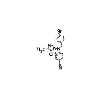 Cc1ncn(N(Cc2ccc(Br)cc2)c2ccc(C#N)cc2)c1C